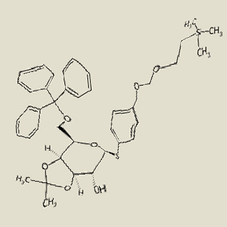 CC1(C)O[C@@H]2[C@@H](O)[C@H](Sc3ccc(OCOCC[Si](C)(C)C)cc3)O[C@H](COC(c3ccccc3)(c3ccccc3)c3ccccc3)[C@@H]2O1